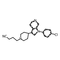 N#CCCCN1CCC(c2cn(-c3ccc(Cl)cc3)c3cnccc23)CC1